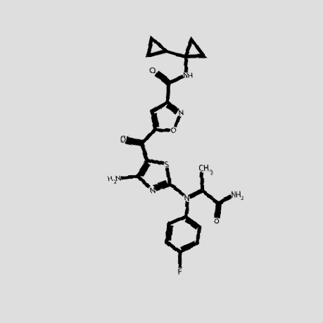 CC(C(N)=O)N(c1ccc(F)cc1)c1nc(N)c(C(=O)c2cc(C(=O)NC3(C4CC4)CC3)no2)s1